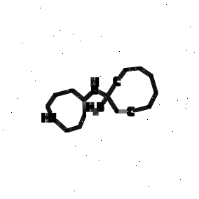 BC1(BC2CCCNCCC2)CCCCCCCC1